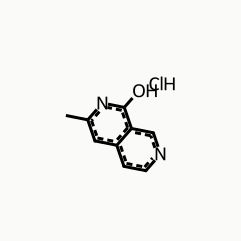 Cc1cc2ccncc2c(O)n1.Cl